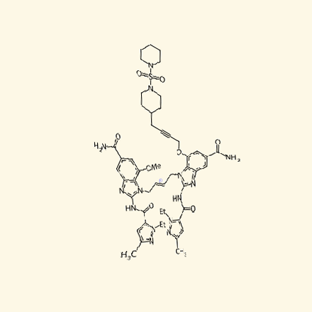 CCn1nc(C)cc1C(=O)Nc1nc2cc(C(N)=O)cc(OC)c2n1C/C=C/Cn1c(NC(=O)c2cc(C)nn2CC)nc2cc(C(N)=O)cc(OCC#CCC3CCN(S(=O)(=O)N4CCCCC4)CC3)c21